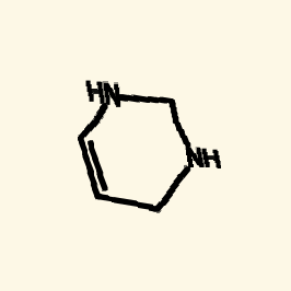 C1=CNCNC1